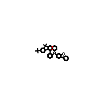 CC(C)(C)c1ccc2c(c1)C(C)(C)c1cccc(-c3ccccc3N(c3ccccc3)c3ccc4c(c3)oc3ccccc34)c1-2